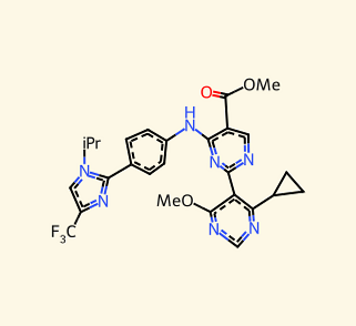 COC(=O)c1cnc(-c2c(OC)ncnc2C2CC2)nc1Nc1ccc(-c2nc(C(F)(F)F)cn2C(C)C)cc1